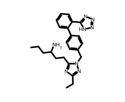 CCCC(N)CCc1nc(CC)nn1Cc1ccc(-c2ccccc2-c2nnn[nH]2)cc1